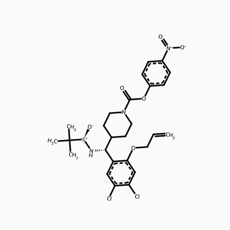 C=CCOc1cc(Cl)c(Cl)cc1[C@H](N[S@+]([O-])C(C)(C)C)C1CCN(C(=O)Oc2ccc([N+](=O)[O-])cc2)CC1